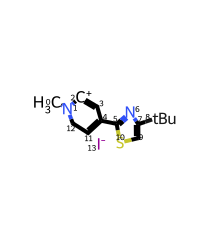 CN1[C+]=CC(c2nc(C(C)(C)C)cs2)=CC1.[I-]